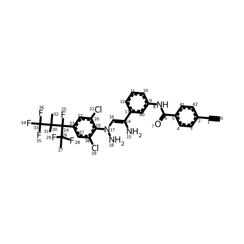 C#Cc1ccc(C(=O)Nc2cccc(/C(N)=C/N(N)c3c(Cl)cc(C(F)(C(C)(F)F)C(C)(C)C(F)(F)F)cc3Cl)c2)cc1